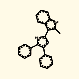 Cc1[nH]c2ccccc2c1-c1cc(-c2ccccc2)c(-c2ccccc2)[nH]1